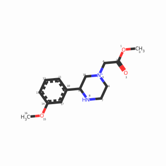 COC(=O)C[N+]1CCNC(c2cccc(OC)c2)C1